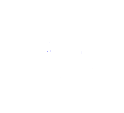 CCCCNC(=O)c1cc(OCC)c(Nc2ccc(C)c(NNC)c2)[nH]1